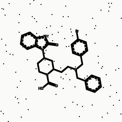 O=C(O)N1CCC(n2c(=O)[nH]c3ccccc32)CC1CCN(Cc1ccccc1)Cc1ccc(Br)cc1